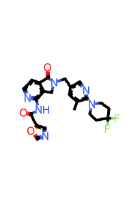 Cc1cc(CN2Cc3c(ccnc3NC(=O)c3cnco3)C2=O)cnc1N1CCC(F)(F)CC1